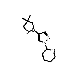 CC1(C)COB(c2cnn(C3CCCCO3)c2)O1